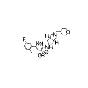 Cc1ccc(F)cc1-c1cc(S(C)(=O)=O)c(NC2C[C@@H]3CN(CC4CCOCC4)C[C@@H]3C2)nn1